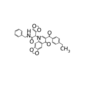 CCc1ccc(C(=O)c2cn(C(C(=O)NCc3ccccc3)C3=COCO3)c3cc4c(cc3c2=O)OCO4)cc1